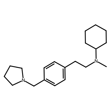 CN(CCc1ccc(CN2CCCC2)cc1)C1CCCCC1